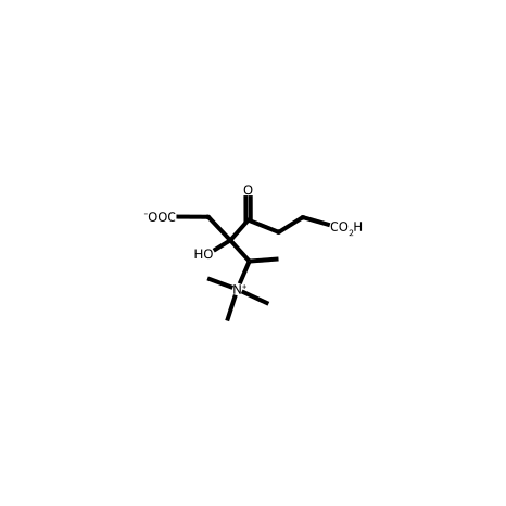 CC(C(O)(CC(=O)[O-])C(=O)CCC(=O)O)[N+](C)(C)C